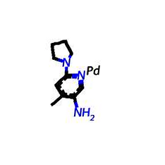 Cc1cc(N2CCCC2)ncc1N.[Pd]